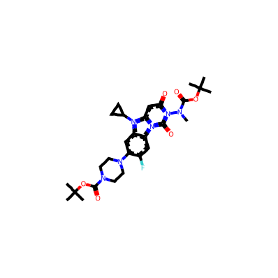 CN(C(=O)OC(C)(C)C)n1c(=O)cc2n(C3CC3)c3cc(N4CCN(C(=O)OC(C)(C)C)CC4)c(F)cc3n2c1=O